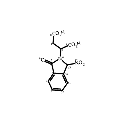 O=C(O)CC(C(=O)O)N1C(=O)c2ccccc2C1[N+](=O)[O-]